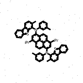 Cc1cccc(N(c2cc(C(C)C)c3ccc4c(N(c5cccc(C)c5)c5c(C)ccc6c5sc5ccccc56)cc(C(C)C)c5ccc2c3c54)c2c(C)ccc3c2sc2ccccc23)c1